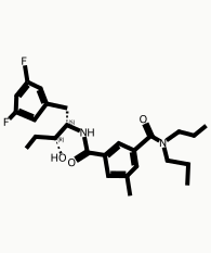 CCCN(CCC)C(=O)c1cc(C)cc(C(=O)N[C@@H](Cc2cc(F)cc(F)c2)[C@H](O)CC)c1